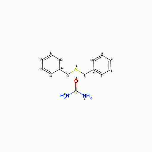 NC(N)=O.c1ccc(CSCc2ccccc2)cc1